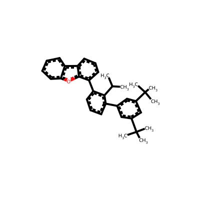 CC(C)c1c(-c2cc(C(C)(C)C)cc(C(C)(C)C)c2)cccc1-c1cccc2c1oc1ccccc12